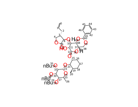 C=CC[C@H]1COC(=O)[C@@H]1OC1C(O)[C@H](O[C@@H]2CCC[C@@H](C)C2O[C@@H]2OC(C)[C@@H](OCCCC)C(OCCCC)[C@@H]2OCCCC)O[C@H]2COC(c3ccccc3)O[C@H]12